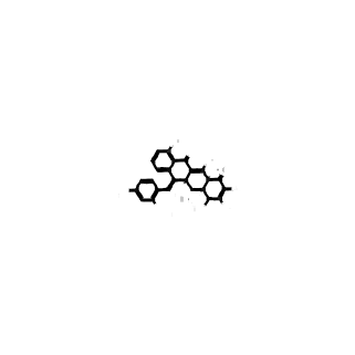 CC(=O)C1=C(O)C(C(C)C)[C@@]2(C)[C@H](O)[C@]3(C)C(=C(O)[C@@]2(O)C1=O)C(=O)c1c(O)cccc1/C3=C\c1ccc(C)cc1C